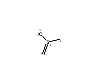 C=S(C)O